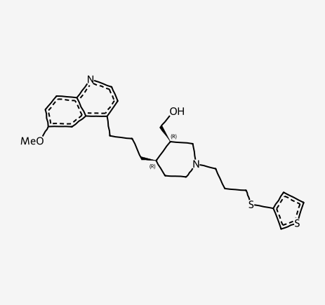 COc1ccc2nccc(CCC[C@@H]3CCN(CCCSc4ccsc4)C[C@@H]3CO)c2c1